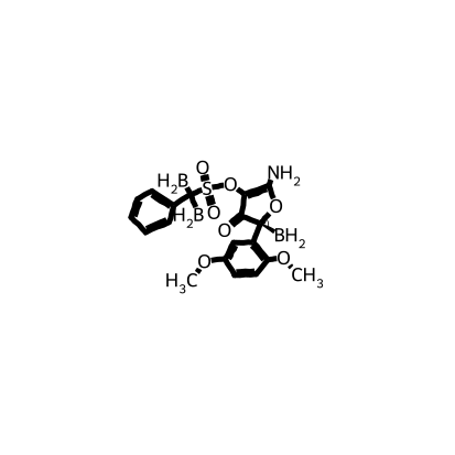 BC(B)(c1ccccc1)S(=O)(=O)OC1=C(N)O[C@](B)(c2cc(OC)ccc2OC)C1=O